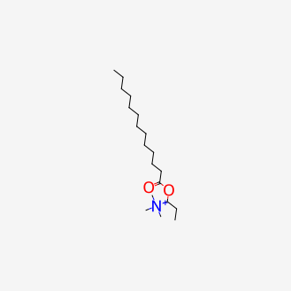 CCCCCCCCCCCCC(=O)OC(CC)[N+](C)(C)C